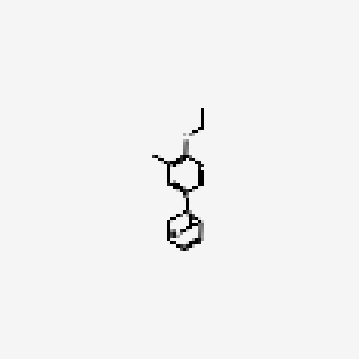 CCOc1ncc(C2NC3C=CC2CC3)cc1C